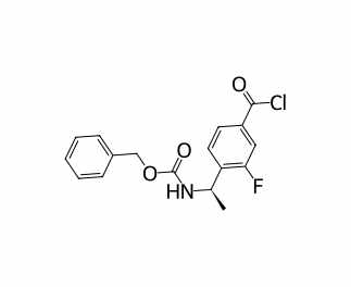 C[C@@H](NC(=O)OCc1ccccc1)c1ccc(C(=O)Cl)cc1F